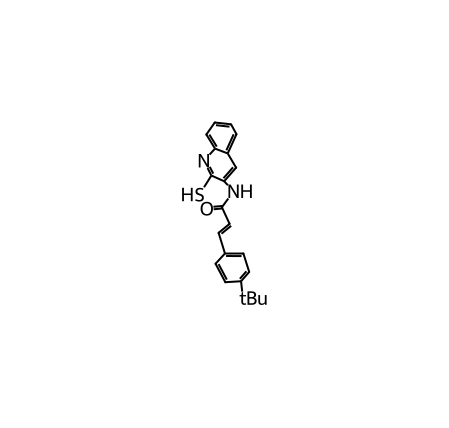 CC(C)(C)c1ccc(/C=C/C(=O)Nc2cc3ccccc3nc2S)cc1